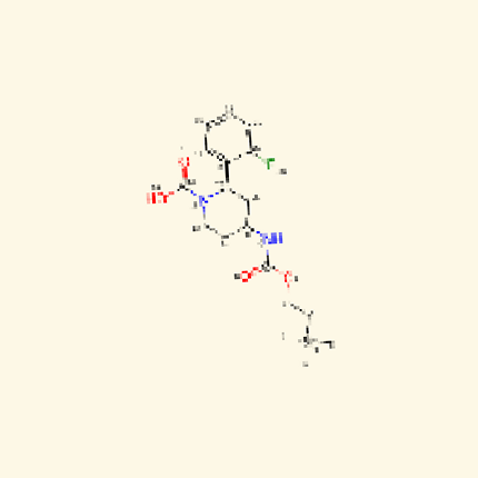 C[Si](C)(C)CCOC(=O)NC1CCN(C(=O)O)[C@@H](c2ccccc2F)C1